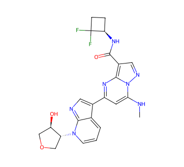 CNc1cc(-c2cnc3n([C@@H]4COC[C@H]4O)cccc2-3)nc2c(C(=O)N[C@@H]3CCC3(F)F)cnn12